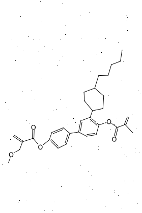 C=C(C)C(=O)Oc1ccc(-c2ccc(OC(=O)C(=C)COC)cc2)cc1C1CCC(CCCCC)CC1